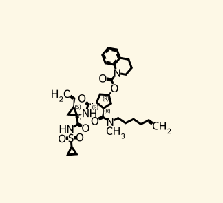 C=CCCCCN(C)C(=O)[C@@H]1C[C@H](OC(=O)N2CCCc3ccccc32)C[C@H]1C(=O)N[C@]1(C(=O)NS(=O)(=O)C2CC2)C[C@H]1C=C